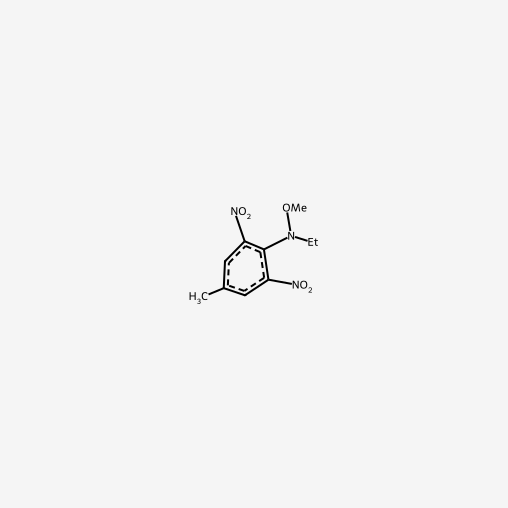 CCN(OC)c1c([N+](=O)[O-])cc(C)cc1[N+](=O)[O-]